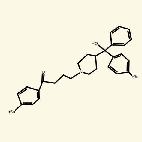 CC(C)(C)c1ccc(C(=O)CCCN2CCC(C(O)(c3ccccc3)c3ccc(C(C)(C)C)cc3)CC2)cc1